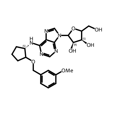 COc1cccc(COC2CCC[C@@H]2Nc2ncnc3c2ncn3C2OC(CO)[C@@H](O)[C@H]2O)c1